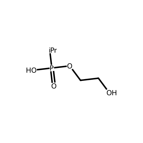 CC(C)P(=O)(O)OCCO